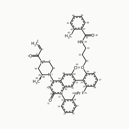 C=CC(=O)N1CCN(c2nc(=O)n(-c3ccccc3CCC)c3cc(-c4c(F)cccc4OCCCNC(=O)c4ccccc4C)c(Cl)cc23)[C@@H](C)C1